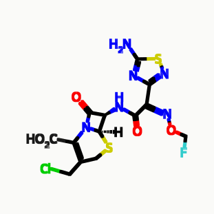 Nc1nc(/C(=N/OCF)C(=O)N[C@@H]2C(=O)N3C(C(=O)O)=C(CCl)CS[C@H]23)ns1